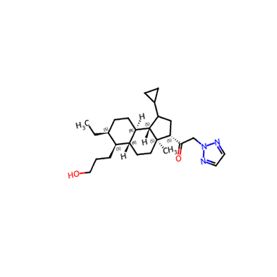 CC[C@H]1CC[C@@H]2[C@H](CC[C@]3(C)[C@@H](C(=O)Cn4nccn4)CC(C4CC4)[C@@H]23)[C@H]1CCCO